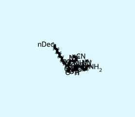 CCCCCCCCCCCCCCCCCCOC[C@H](COc1ccc(C#N)cn1)OP(=O)(O)OC1[C@H]2O[C@@](C)(c3ccc4c(N)ncnn34)[C@H](O)[C@@]12O